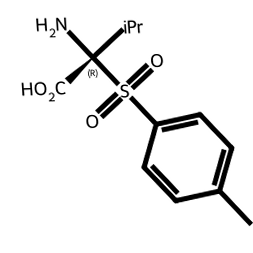 Cc1ccc(S(=O)(=O)[C@@](N)(C(=O)O)C(C)C)cc1